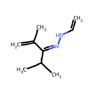 C=CN/N=C(\C(=C)C)C(C)C